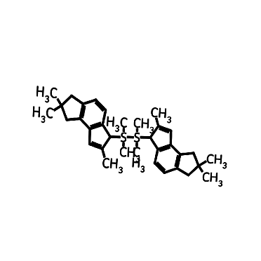 CC1=Cc2c(ccc3c2CC(C)(C)C3)C1S(C)(C)S(C)(C)C1C(C)=Cc2c1ccc1c2CC(C)(C)C1